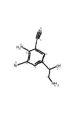 N#Cc1cc(C(O)CN)cc(Br)c1N